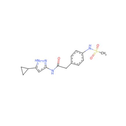 CS(=O)(=O)Nc1ccc(CC(=O)Nc2cc(C3CC3)[nH]n2)cc1